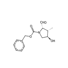 C[C@H]1[C@@H](C=O)N(C(=O)OCc2ccccc2)C[C@@H]1O